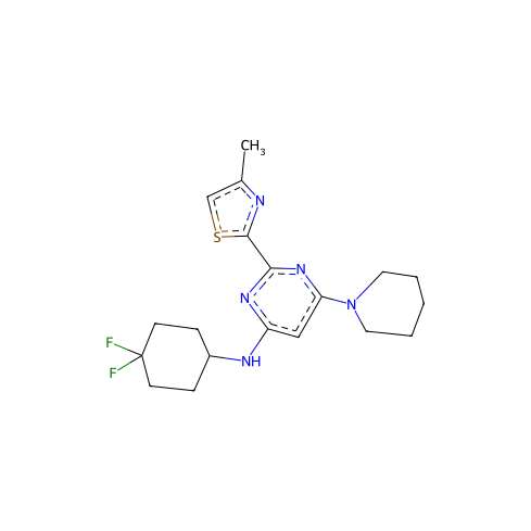 Cc1csc(-c2nc(NC3CCC(F)(F)CC3)cc(N3CCCCC3)n2)n1